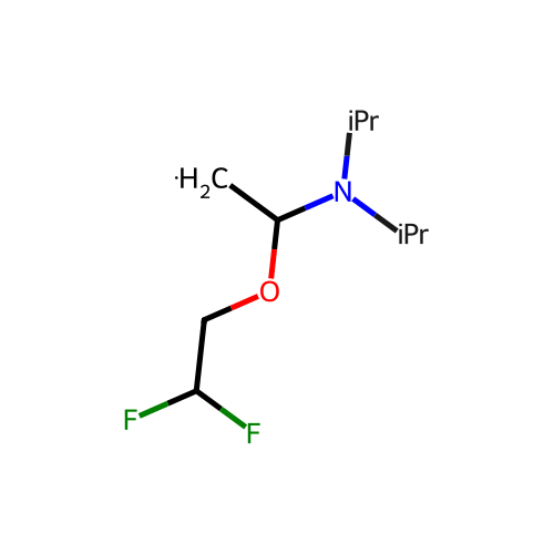 [CH2]C(OCC(F)F)N(C(C)C)C(C)C